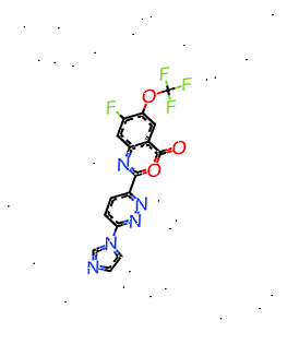 O=c1oc(-c2ccc(-n3ccnc3)nn2)nc2cc(F)c(OC(F)(F)F)cc12